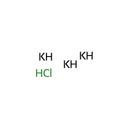 Cl.[KH].[KH].[KH]